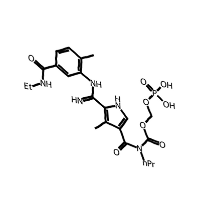 CCCN(C(=O)OCOP(=O)(O)O)C(=O)c1c[nH]c(C(=N)Nc2cc(C(=O)NCC)ccc2C)c1C